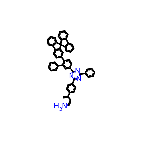 C=C(/C=C\N)c1ccc(-c2nc(-c3ccccc3)nc(-c3ccc(-c4ccc5c(c4)C4(c6ccccc6-c6ccccc64)c4ccccc4-5)c(-c4ccccc4)c3)n2)cc1